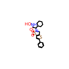 O=C(NO)C(C1CCCCC1)N1Cc2sc(-c3ccccc3)cc2S1(=O)=O